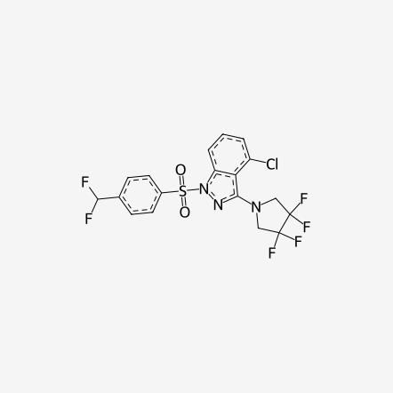 O=S(=O)(c1ccc(C(F)F)cc1)n1nc(N2CC(F)(F)C(F)(F)C2)c2c(Cl)cccc21